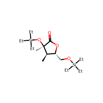 CC[Si](CC)(CC)OC[C@H]1OC(=O)[C@](C)(O[Si](CC)(CC)CC)[C@@H]1C